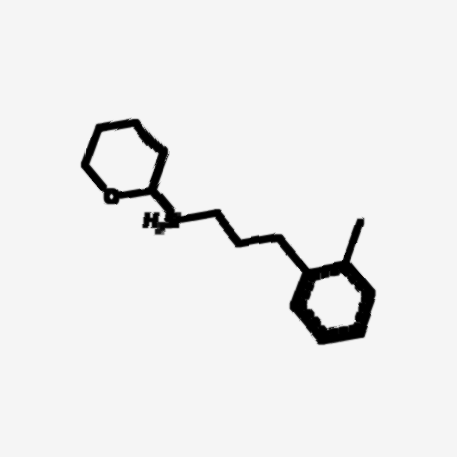 Cc1ccccc1CCC[SiH2]C1CCCCO1